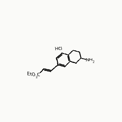 CCOC(=O)C=Cc1ccc2c(c1)CC(N)CC2.Cl